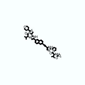 COC(=O)N[C@H](C(=O)N1CCC[C@H]1c1ncc(C#Cc2ccc3cc(-c4cnc([C@@H]5CSC(C6CCOCC6)N5C(=O)[C@@H](C)C(C)C)[nH]4)ccc3c2)[nH]1)C(C)C